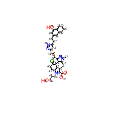 COC(=O)c1c(C)c2c(-c3c(CSCc4cc(CCc5cc(O)c6ccccc6c5)n(C)n4)nn(C)c3C)c(Cl)ccc2n1CCCO